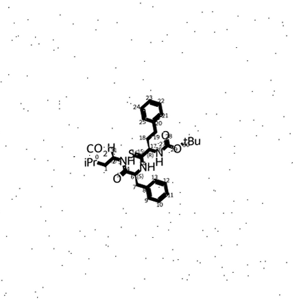 CC(C)C[C@H](NC(=O)[C@H](Cc1ccccc1)NC(=S)[C@@H](CCc1ccccc1)NC(=O)OC(C)(C)C)C(=O)O